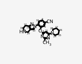 Cc1nc(Oc2cc(C#N)ccc2-n2cc3c(n2)CCNC3)cc(N2CCCCC2)n1